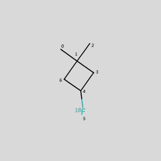 CC1(C)CC([18F])C1